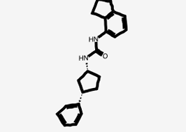 O=C(Nc1cccc2c1CCC2)N[C@@H]1CC[C@H](c2ccccc2)C1